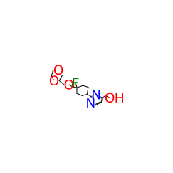 OCc1ccnc(C2CCC(F)(COCC3COCCO3)CC2)n1